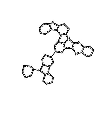 c1ccc(-n2c3ccccc3c3cc(-c4cc5c6nc7ccccc7nc6n6c7ccc8sc9ccccc9c8c7c(c4)c56)ccc32)cc1